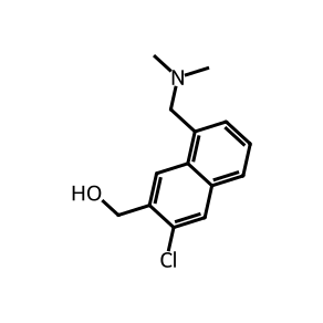 CN(C)Cc1cccc2cc(Cl)c(CO)cc12